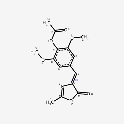 COc1cc(/C=C2\N=C(C)OC2=O)cc(OC)c1OC(C)=O